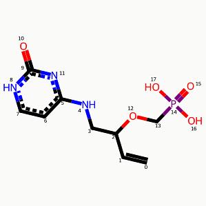 C=CC(CNc1cc[nH]c(=O)n1)OCP(=O)(O)O